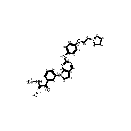 CC(C)(C)NC(=C=O)C(=O)c1cccc(N2CCc3cnc(Nc4ccc(OCCN5CCCC5)cc4)nc32)c1